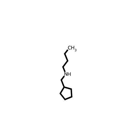 CCCCNCC1CCCC1